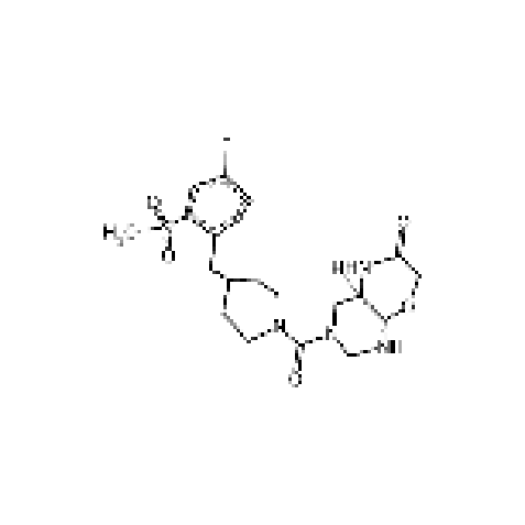 CS(=O)(=O)c1cc(F)ccc1CC1CCN(C(=O)N2CNC3OCC(=O)N[C@@H]3C2)CC1